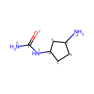 NC(=O)NC1CCC(N)C1